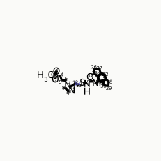 CS(=O)(=O)CCCn1ccnc1/C=C/SNC(=O)Nc1c2c(cc3c1CCC3)CCC2